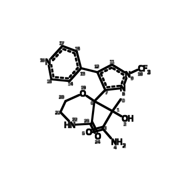 CC(O)(C(N)=O)C1(c2nn(C(F)(F)F)cc2-c2ccncc2)OCCNC1=O